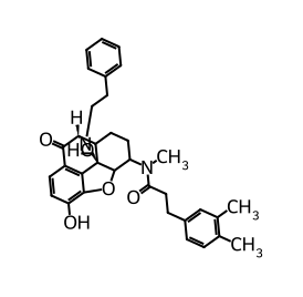 Cc1ccc(CCC(=O)N(C)C2CC[C@@]3(O)[C@H]4C(=O)c5ccc(O)c6c5[C@@]3(CCN4CCc3ccccc3)C2O6)cc1C